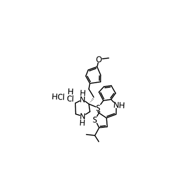 COc1ccc(CC[C@]2(S3=c4sc(C(C)C)cc4=CNc4ccccc43)CNCCN2)cc1.Cl.Cl